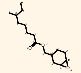 CCC(C)CCCCC(=O)OCC1CCC2OC2C1